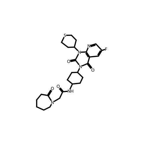 O=C(CN1CCCCCC1=O)NC1CCC(n2c(=O)c3cc(F)cnc3n(C3CCSCC3)c2=O)CC1